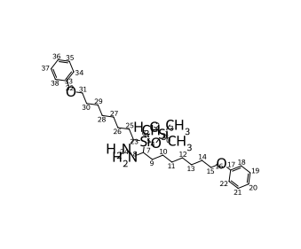 C[Si](C)(C)O[Si](C)(C(N)CCCCCCCOc1ccccc1)C(N)CCCCCCCOc1ccccc1